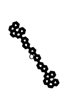 c1ccc2c(c1)ccc1ccc3cc(-c4ccc5cc(-c6ccc7c(c6)oc6cc(-c8ccc9cc(-c%10cc%11ccc%12ccc%13ccccc%13c%12c%11c%11ccccc%10%11)ccc9c8)ccc67)ccc5c4)c4ccccc4c3c12